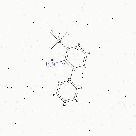 C[Si](C)(C)c1cccc(-c2ccccc2)c1N